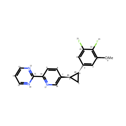 COc1cc([C@@H]2C[C@H]2c2ccc(-c3ncccn3)nc2)cc(F)c1F